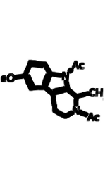 COc1ccc2c(c1)c1c(n2C(C)=O)C(C)N(C(C)=O)CC1